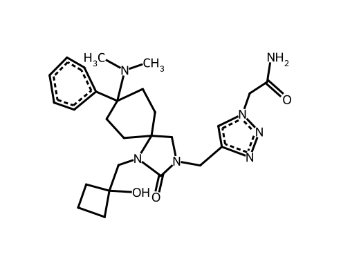 CN(C)C1(c2ccccc2)CCC2(CC1)CN(Cc1cn(CC(N)=O)nn1)C(=O)N2CC1(O)CCC1